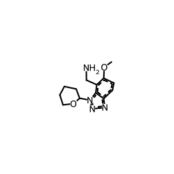 COc1ccc2nnn(C3CCCCO3)c2c1CN